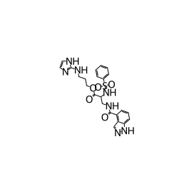 O=C(NCC(NS(=O)(=O)c1ccccc1)C(=O)OCCCNc1ncc[nH]1)c1cccc2[nH]ncc12